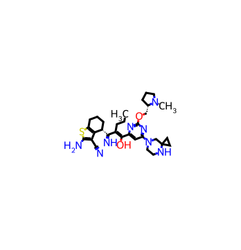 CCC/C(C(=N)[C@H]1CCCc2sc(N)c(C#N)c21)=C(/O)c1cc(N2CCNC3(CC3)C2)nc(OC[C@@H]2CCCN2C)n1